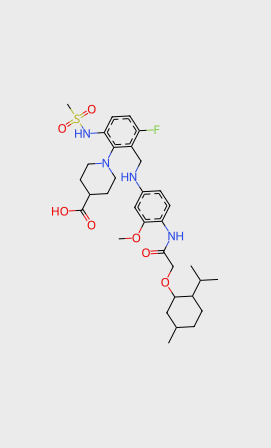 COc1cc(NCc2c(F)ccc(NS(C)(=O)=O)c2N2CCC(C(=O)O)CC2)ccc1NC(=O)COC1CC(C)CCC1C(C)C